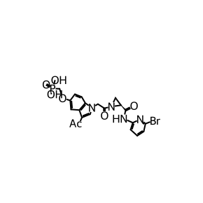 CC(=O)c1cn(CC(=O)N2C[C@H]2C(=O)Nc2cccc(Br)n2)c2ccc(OCP(=O)(O)O)cc12